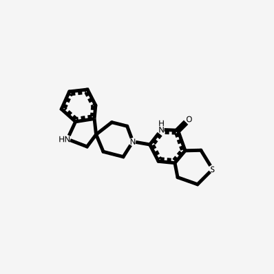 O=c1[nH]c(N2CCC3(CC2)CNc2ccccc23)cc2c1CSCC2